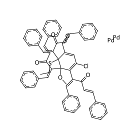 CCSC1(C(=Cc2ccccc2)C(=O)C=Cc2ccccc2)C(C=O)=CC(Cl)=C(C(=Cc2ccccc2)C(=O)C=Cc2ccccc2)C1(OC)C(=Cc1ccccc1)C(=O)C=Cc1ccccc1.[Pd].[Pd]